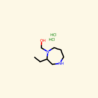 CCC1CNCCCN1CO.Cl.Cl